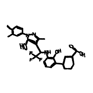 Cc1ccc(-n2nc(C)c(C(Nc3cccc(C4CCCC(C(=O)O)C4)c3O)C(F)(F)F)c2O)cc1C